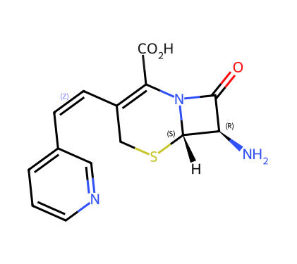 N[C@@H]1C(=O)N2C(C(=O)O)=C(/C=C\c3cccnc3)CS[C@@H]12